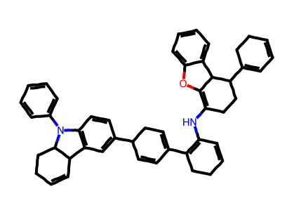 C1=CCCC(C2CCC(NC3=C(C4=CCC(c5ccc6c(c5)C5C=CCCC5N6c5ccccc5)C=C4)CCC=C3)=C3Oc4ccccc4C32)=C1